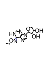 CCO/N=c1\[nH]cnc2c1ncn2C1OCC(O)C1O